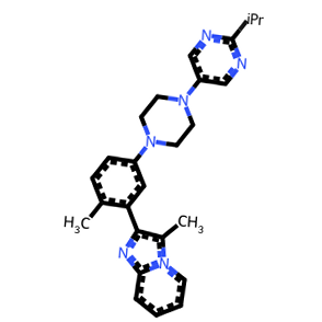 Cc1ccc(N2CCN(c3cnc(C(C)C)nc3)CC2)cc1-c1nc2ccccn2c1C